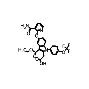 CCOC(=O)c1c(CC(=O)O)n(-c2ccc(OC(F)(F)F)cc2)c2ccc(Oc3ncccc3C(N)=O)cc12